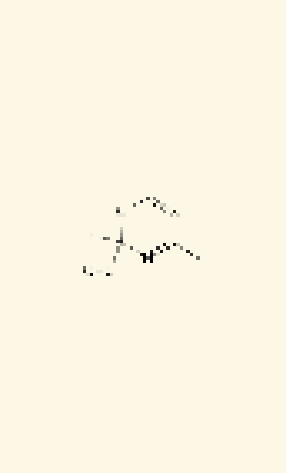 CC1=NC(C)(C=O)OC=C1